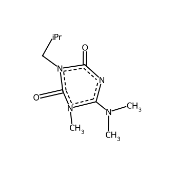 CC(C)Cn1c(=O)nc(N(C)C)n(C)c1=O